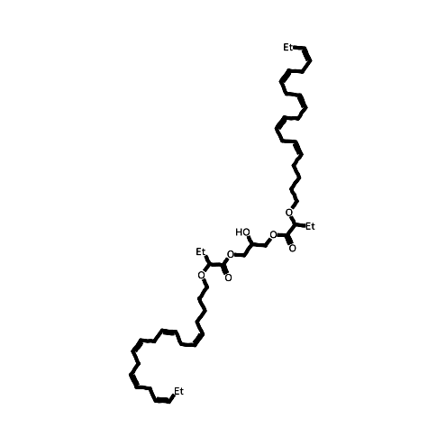 CC/C=C\C/C=C\C/C=C\C/C=C\C/C=C\CCCCOC(CC)C(=O)OCC(O)COC(=O)C(CC)OCCCC/C=C\C/C=C\C/C=C\C/C=C\C/C=C\CC